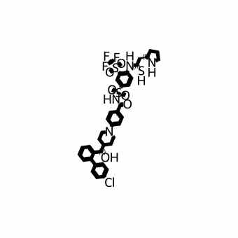 O=C(NS(=O)(=O)c1ccc(N[C@H](S)C[C@H]2CCCN2)c(S(=O)(=O)C(F)(F)F)c1)c1ccc(N2CCC([C@@H](O)c3ccccc3-c3ccc(Cl)cc3)CC2)cc1